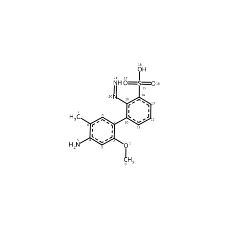 COc1cc(N)c(C)cc1-c1cccc(S(=O)(=O)O)c1N=N